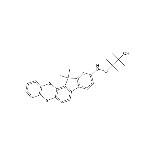 CC1(C)c2cc(BOC(C)(C)C(C)(C)O)ccc2-c2ccc3c(c21)Sc1ccccc1S3